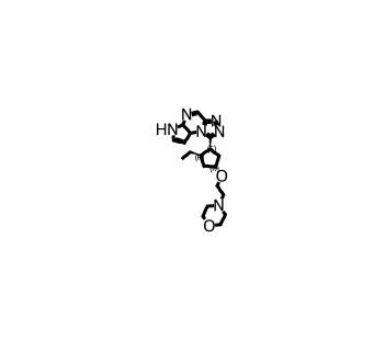 CC[C@@H]1C[C@@H](OCCN2CCOCC2)C[C@@H]1c1nnc2n1C1C=CNC1N=C2